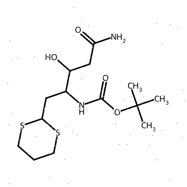 CC(C)(C)OC(=O)NC(CC1SCCCS1)C(O)CC(N)=O